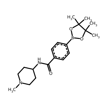 CN1CCC(NC(=O)c2ccc(B3OC(C)(C)C(C)(C)O3)cc2)CC1